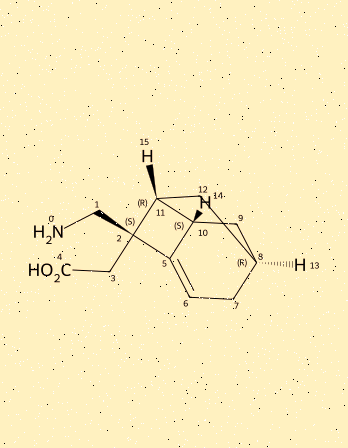 NC[C@]1(CC(=O)O)C2=CC[C@@H]3C[C@H]2[C@H]1C3